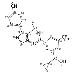 CC(NC(=O)c1cc(C(O)C2CC2)cc(C(F)(F)F)c1)c1ncnn1-c1ccc(C#N)cn1